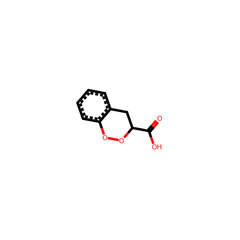 O=C(O)C1Cc2ccccc2OO1